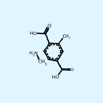 CN.Cc1cc(C(=O)O)ccc1C(=O)O